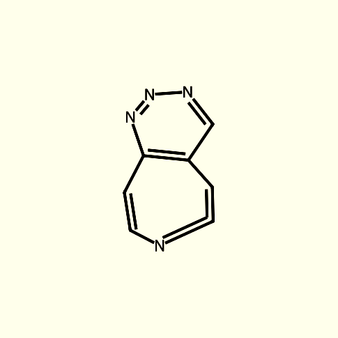 C1=Cc2cnnnc2C=CN=1